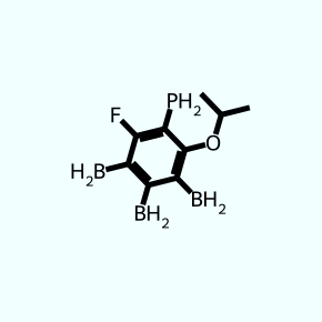 Bc1c(B)c(F)c(P)c(OC(C)C)c1B